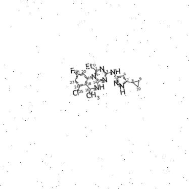 CCc1nc(Nc2cc(C3CC3)[nH]n2)nc(NC(C)c2ccc(F)cc2Cl)n1